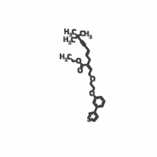 CCOC(=O)C(=CCOCCOc1cccc(-c2ccsc2)c1)CC=CC#CC(C)(C)C